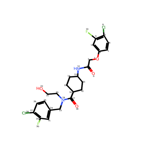 O=C(COc1ccc(Cl)c(F)c1)NC1CCC(C(=O)N(CCO)Cc2ccc(Cl)c(F)c2)CC1